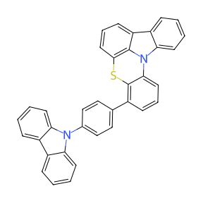 c1cc(-c2ccc(-n3c4ccccc4c4ccccc43)cc2)c2c(c1)-n1c3ccccc3c3cccc(c31)S2